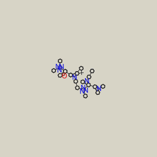 CC1(C)c2ccccc2-c2cc3c4cc(-c5ccc(-c6nc(-c7ccccc7)nc(-c7ccccc7)n6)c6c5oc5ccccc56)ccc4n(-c4ccc(-c5cccc(-c6nc(-c7ccccc7)nc(-c7cc(-c8ccc9c(c8)c8ccccc8n9-c8ccccc8)cc8c7c7ccccc7n8-c7ccc(-c8ccccc8)cc7)n6)c5)cc4)c3cc21